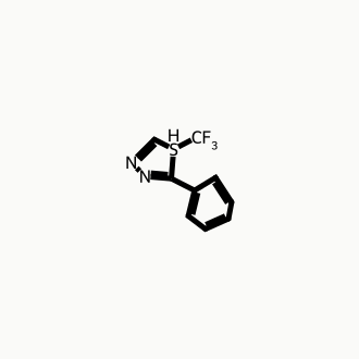 FC(F)(F)[SH]1C=NN=C1c1ccccc1